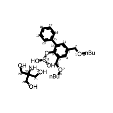 CCCCOCc1cc(COCCCC)c(OB(O)O)c(-c2ccccc2)c1.NC(CO)(CO)CO